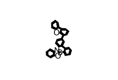 c1ccc2c(c1)OB1c3ccccc3-c3cc(-c4cccc5c4oc4ccccc45)ccc3N12